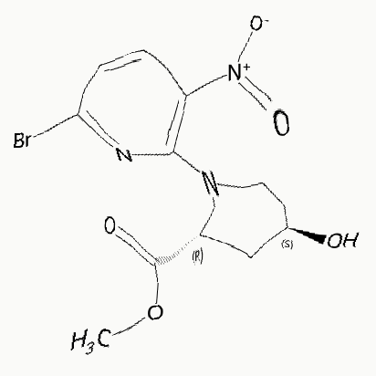 COC(=O)[C@H]1C[C@H](O)CN1c1nc(Br)ccc1[N+](=O)[O-]